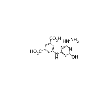 NNc1nc(O)nc(Nc2cc(C(=O)O)cc(C(=O)O)c2)n1